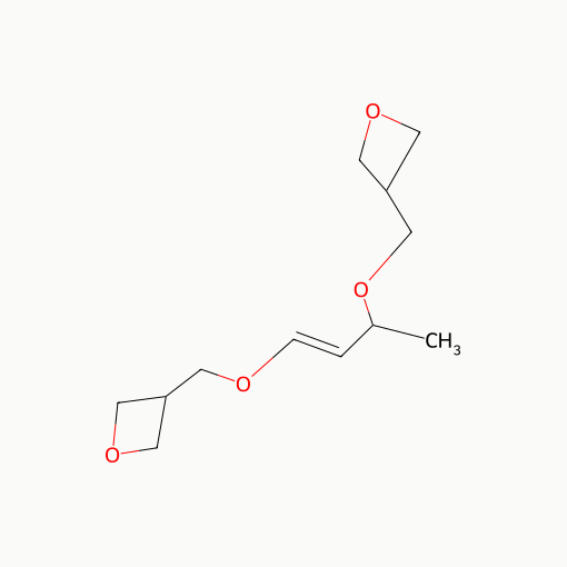 CC(C=COCC1COC1)OCC1COC1